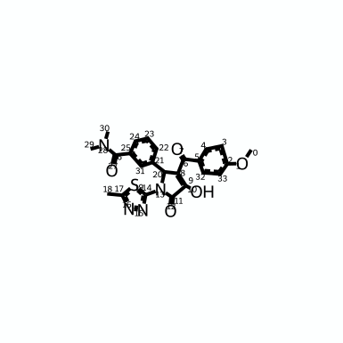 COc1ccc(C(=O)C2=C(O)C(=O)N(c3nnc(C)s3)C2c2cccc(C(=O)N(C)C)c2)cc1